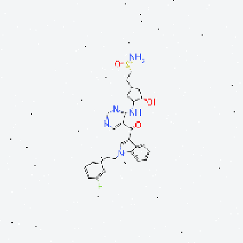 N[S+]([O-])CCC1CC(Nc2ncncc2C(=O)c2cn(CCc3cccc(F)c3)c3ccccc23)[C@H](O)C1